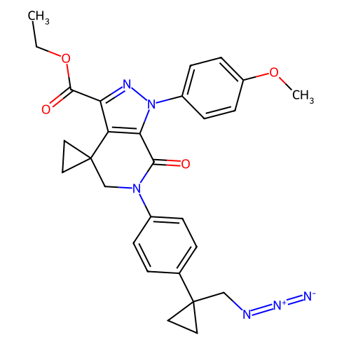 CCOC(=O)c1nn(-c2ccc(OC)cc2)c2c1C1(CC1)CN(c1ccc(C3(CN=[N+]=[N-])CC3)cc1)C2=O